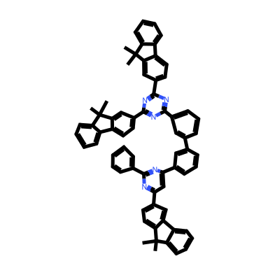 CC1(C)c2ccccc2-c2cc(-c3cc(-c4cccc(-c5cccc(-c6nc(-c7ccc8c(c7)C(C)(C)c7ccccc7-8)nc(-c7ccc8c(c7)C(C)(C)c7ccccc7-8)n6)c5)c4)nc(-c4ccccc4)n3)ccc21